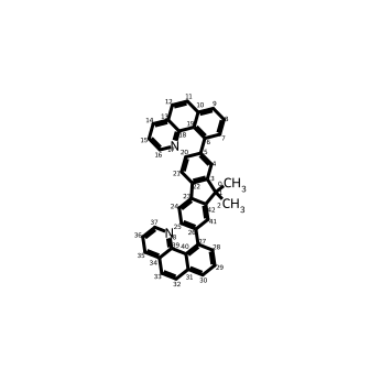 CC1(C)c2cc(-c3cccc4ccc5cccnc5c34)ccc2-c2ccc(-c3cccc4ccc5cccnc5c34)cc21